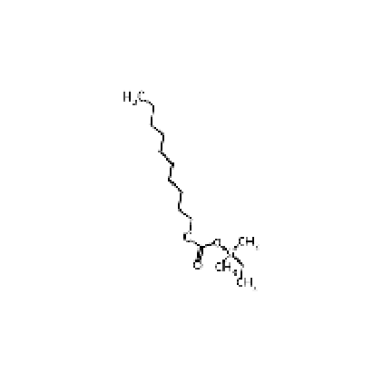 CCCCCCCCCCOC(=O)O[Si](C)(C)CC